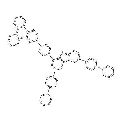 c1ccc(-c2ccc(-c3ccc4sc5c(-c6ccc(-c7cnc8c9ccccc9c9ccccc9c8n7)cc6)cc(-c6ccc(-c7ccccc7)cc6)cc5c4c3)cc2)cc1